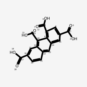 O=C(O)c1cc(C(=O)O)c2c(C(=O)O)c3cc(C(=O)O)ccc3cc2c1